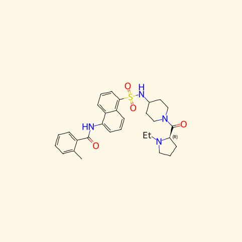 CCN1CCC[C@@H]1C(=O)N1CCC(NS(=O)(=O)c2cccc3c(NC(=O)c4ccccc4C)cccc23)CC1